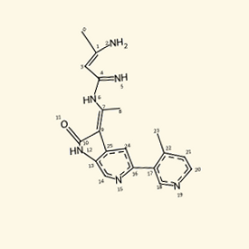 C/C(N)=C/C(=N)N/C(C)=C1\C(=O)Nc2cnc(-c3cnccc3C)cc21